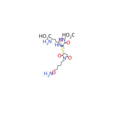 NOCCCCCCN1C(=O)CC(SC[C@H](NC(=O)CCC(N)C(=O)O)C(=O)NCC(=O)O)C1=O